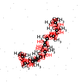 COc1cc(C(O)C(CO)Oc2ccc(C3Oc4c(OC)cc(C(O)C(CO)Oc5c(OC)cc(C(O)C(CO)Oc6ccc([C@H]7OC[C@H]8[C@@H]7CO[C@@H]8c7cc(OC)c(OC(CO)C(O)c8ccc(OC(CO)C(O)c9cc(OC)c(OC)c(OC)c9)c(OC)c8)c(OC)c7)cc6OC)cc5OC)cc4[C@H]3CO)cc2OC)ccc1OC(CO)C(O)c1cc(OC)c(OC(CO)C(O)c2cc(OC)c(OC)c(OC)c2)c(OC)c1